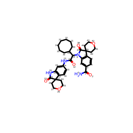 NC(=O)c1ccc2c(c1)N(C(C(=O)Nc1ccc3c(c1)NC(=O)C31CCOCC1)C1CCCCCCC1)C(=O)C21CCOCC1